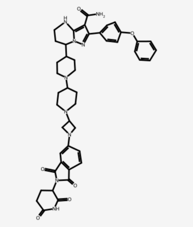 NC(=O)c1c(-c2ccc(Oc3ccccc3)cc2)nn2c1NCCC2C1CCN(C2CCN(C3CN(c4ccc5c(c4)C(=O)N(C4CCC(=O)NC4=O)C5=O)C3)CC2)CC1